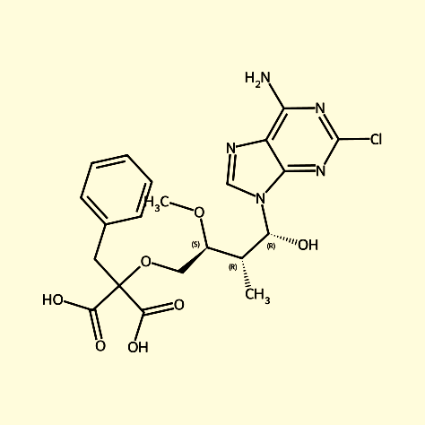 CO[C@H](COC(Cc1ccccc1)(C(=O)O)C(=O)O)[C@@H](C)[C@@H](O)n1cnc2c(N)nc(Cl)nc21